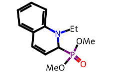 CCN1c2ccccc2C=CC1P(=O)(OC)OC